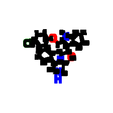 Cn1c(COc2ccc(Cl)cc2)c(C(=O)CN2CCNCC2c2ccccc2)c2ccccc21